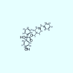 O=C(OCC1CCN(Cc2ccccc2)CC1)[C@](O)(c1ccccc1)c1ccc(O)cc1